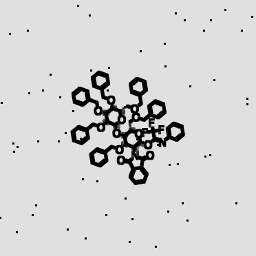 O=C1c2ccccc2C(=O)N1[C@@H]1[C@@H](OC(=Nc2ccccc2)C(F)(F)F)O[C@@H](COCc2ccccc2)[C@H](O[C@H]2O[C@@H](COCc3ccccc3)[C@@H](OCc3ccccc3)[C@@H](OCc3ccccc3)[C@@H]2OCc2ccccc2)[C@H]1OCc1ccccc1